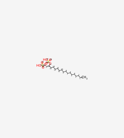 CCCCCCCCCCCCCCCCC(COS(=O)(=O)O)OS(=O)(=O)O